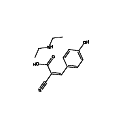 CCNCC.N#CC(=Cc1ccc(O)cc1)C(=O)O